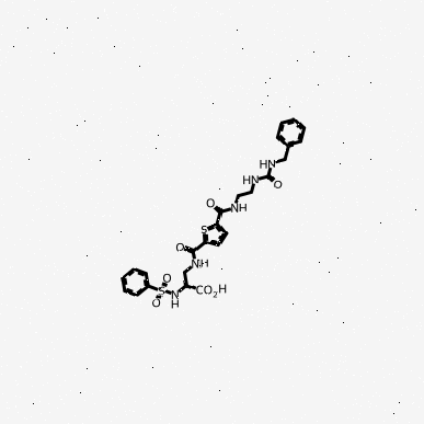 O=C(NCCNC(=O)c1ccc(C(=O)NCC(NS(=O)(=O)c2ccccc2)C(=O)O)s1)NCc1ccccc1